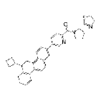 C1=NCCS1.O=C(c1ccc(-c2ccc3c4c(ccc3c2)C2=C(CCC=C2)C(C2CCC2)C4)cn1)N1CCCC1